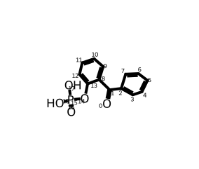 O=C(c1ccccc1)c1ccccc1OP(=O)(O)O